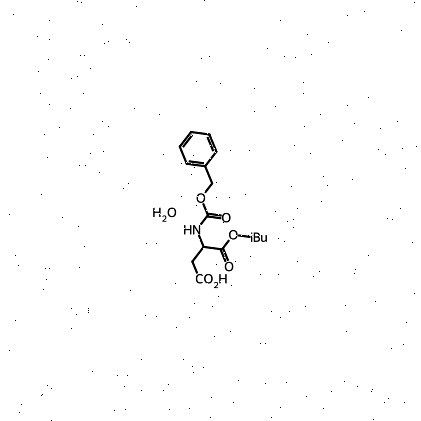 CCC(C)OC(=O)C(CC(=O)O)NC(=O)OCc1ccccc1.O